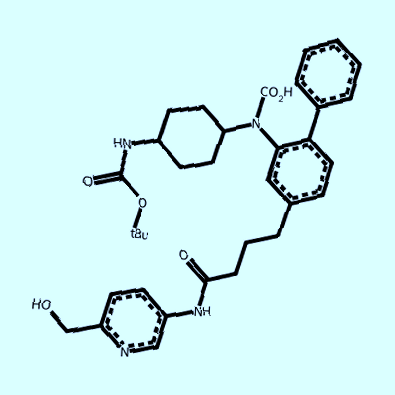 CC(C)(C)OC(=O)NC1CCC(N(C(=O)O)c2cc(CCCC(=O)Nc3ccc(CO)nc3)ccc2-c2ccccc2)CC1